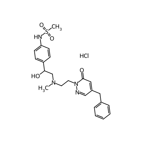 CN(CCn1ncc(Cc2ccccc2)cc1=O)CC(O)c1ccc(NS(C)(=O)=O)cc1.Cl